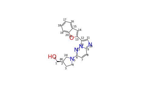 OC[C@@H]1CCN(c2ccc3ncc(-c4cc5ccccc5o4)n3n2)C1